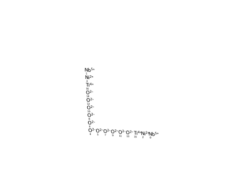 [Nb+5].[Nb+5].[Ni+2].[Ni+2].[O-2].[O-2].[O-2].[O-2].[O-2].[O-2].[O-2].[O-2].[O-2].[O-2].[O-2].[Ti+4].[Ti+4]